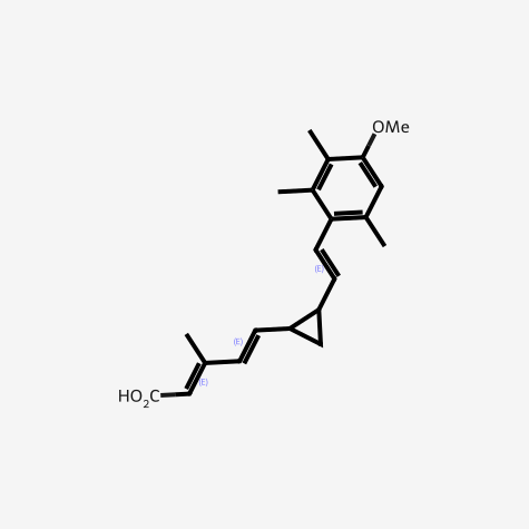 COc1cc(C)c(/C=C/C2CC2/C=C/C(C)=C/C(=O)O)c(C)c1C